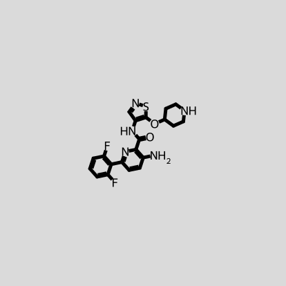 Nc1ccc(-c2c(F)cccc2F)nc1C(=O)Nc1cnsc1OC1CCNCC1